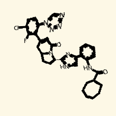 O=C(Nc1ccccc1-c1c[nH]c([C@@H]2CCC3CC(c4c(-n5cnnn5)ccc(Cl)c4F)=CC(=O)N32)n1)C1CCCCCC1